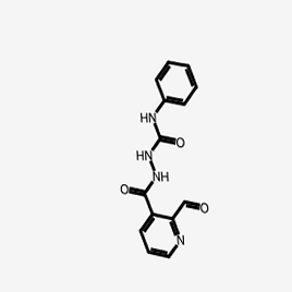 O=Cc1ncccc1C(=O)NNC(=O)Nc1ccccc1